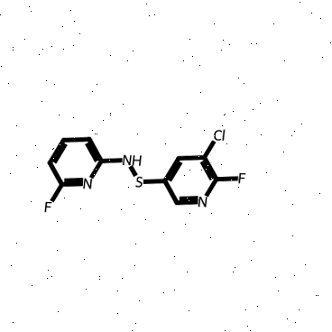 Fc1cccc(NSc2cnc(F)c(Cl)c2)n1